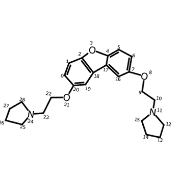 c1cc2oc3ccc(OCCN4CCCC4)cc3c2cc1OCCN1CCCC1